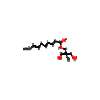 CCCCCCCCCCCCCCCCCC(=O)OCC(CC)(CO)CO